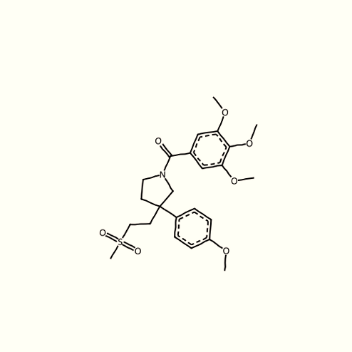 COc1ccc(C2(CCS(C)(=O)=O)CCN(C(=O)c3cc(OC)c(OC)c(OC)c3)C2)cc1